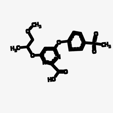 COCC(C)Oc1cc(Oc2ccc(S(C)(=O)=O)cc2)nc(C(=O)O)n1